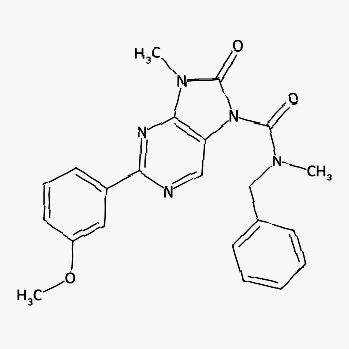 COc1cccc(-c2ncc3c(n2)n(C)c(=O)n3C(=O)N(C)Cc2ccccc2)c1